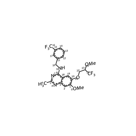 COc1cc2nc(C)nc(NCc3cccc(C(F)(F)F)c3)c2cc1OCC(OC)C(F)(F)F